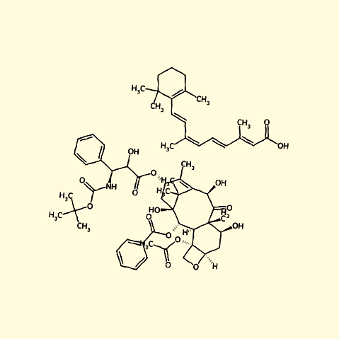 CC(=O)O[C@@]12CO[C@@H]1C[C@H](O)[C@@]1(C)C(=O)[C@H](O)C3=C(C)[C@@H](OC(=O)C(O)[C@@H](NC(=O)OC(C)(C)C)c4ccccc4)C[C@@](O)([C@@H](OC(=O)c4ccccc4)[C@H]21)C3(C)C.CC1=C(/C=C/C(C)=C\C=C\C(C)=C\C(=O)O)C(C)(C)CCC1